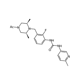 CC(=O)N1C[C@@H](C)N(Cc2cccc(NC(=O)Nc3ccc(C)nc3)c2F)[C@@H](C)C1